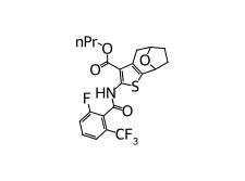 CCCOC(=O)c1c(NC(=O)c2c(F)cccc2C(F)(F)F)sc2c1CC1CCC2O1